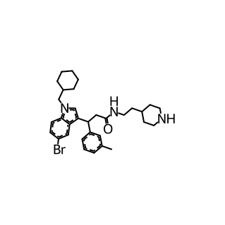 Cc1cccc(C(CC(=O)NCCC2CCNCC2)c2cn(CC3CCCCC3)c3ccc(Br)cc23)c1